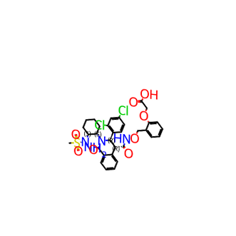 CS(=O)(=O)N(N)[C@H]1CCCC[C@@H]1N1C(=O)c2ccccc2[C@@H](C(=O)NOCc2ccccc2OCC(=O)O)[C@@H]1c1ccc(Cl)cc1Cl